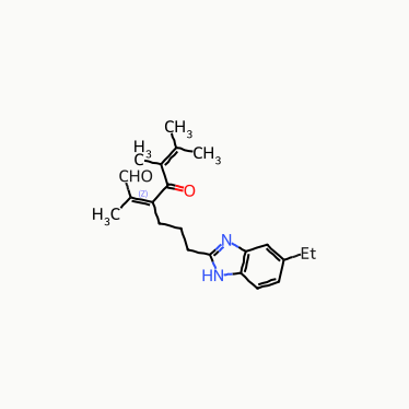 CCc1ccc2[nH]c(CCC/C(C(=O)C(C)=C(C)C)=C(\C)C=O)nc2c1